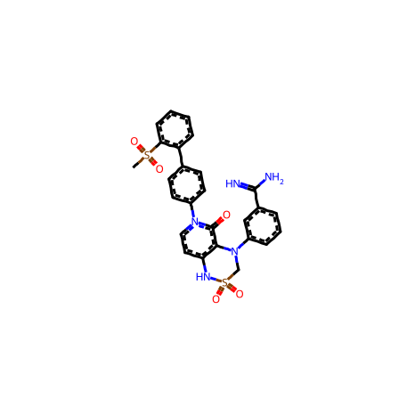 CS(=O)(=O)c1ccccc1-c1ccc(-n2ccc3c(c2=O)N(c2cccc(C(=N)N)c2)CS(=O)(=O)N3)cc1